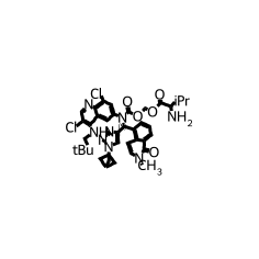 CC(C)C(N)C(=O)OCOC(=O)N(c1cc(Cl)c2ncc(Cl)c(NCC(C)(C)C)c2c1)[C@H](c1cn(C23CC(C2)C3)nn1)c1cccc2c(=O)n(C)ccc12